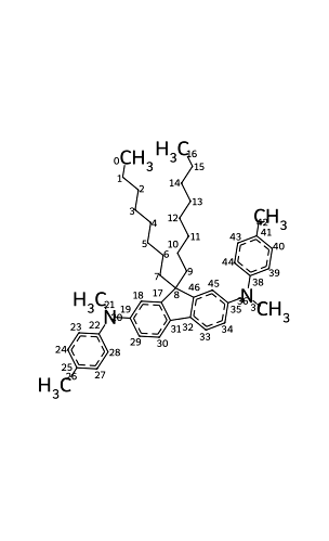 CCCCCCCCC1(CCCCCCCC)c2cc(N(C)c3ccc(C)cc3)ccc2-c2ccc(N(C)c3ccc(C)cc3)cc21